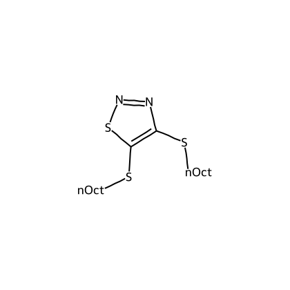 CCCCCCCCSc1nnsc1SCCCCCCCC